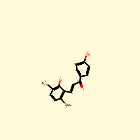 COc1ccc(C)c(O)c1/C=C/C(=O)c1ccc(O)cc1